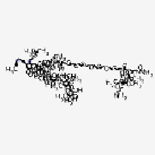 C=C(CC1=C(NC(=O)OC)C(=O)CC(C#C/C=C\C#CC)/C1=C/CSSC(C)C)O[C@@H]1O[C@H](C)[C@@H](NO[C@H]2C[C@H](O)[C@H](SC(=O)c3c(C)c(I)c(O[C@@H]4O[C@@H](C)[C@H](O)[C@@H](OC)[C@H]4O)c(OC)c3OC)[C@@H](C)O2)[C@H](O)[C@H]1O[C@H]1C[C@H](OC)[C@@H](N(CC)CC(=O)NCCOCCOCCOCCOCCOCCOCCOCCNC(=O)[C@H](CCCNC(N)=O)NC(=O)[C@@H](NC(=O)[C@H](CCCCN)NC(C)=O)C(C)C)CO1